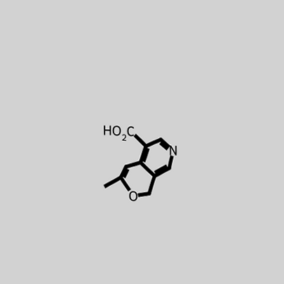 CC1=Cc2c(cncc2C(=O)O)CO1